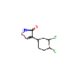 O=c1[nH]scc1C1CCC(Cl)C(Cl)C1